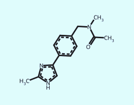 CC(=O)N(C)Cc1ccc(-c2c[nH]c(C)n2)cc1